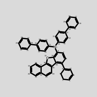 C1=CCCC(c2ccc(N(c3ccc(-c4ccccc4)cc3)c3ccc(-c4ccccc4)cc3)c3oc4c5ccccc5ccc4c23)=C1